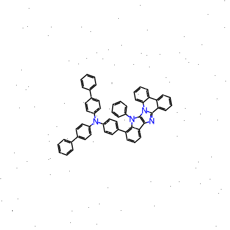 c1ccc(-c2ccc(N(c3ccc(-c4ccccc4)cc3)c3ccc(-c4cccc5c6nc7c8ccccc8c8ccccc8n7c6n(-c6ccccc6)c45)cc3)cc2)cc1